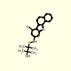 CC(C)(O)C(C)(C)OBc1cc(Cl)c2c(c1)sc1c3ccccc3ccc12